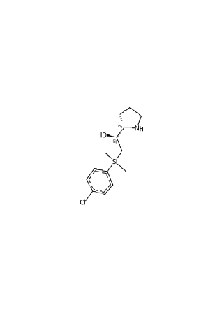 C[Si](C)(C[C@@H](O)[C@@H]1CCCN1)c1ccc(Cl)cc1